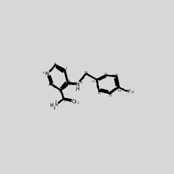 NC(=O)c1cnccc1NCc1ccc(F)cc1